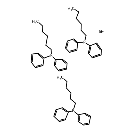 CCCCCCP(c1ccccc1)c1ccccc1.CCCCCCP(c1ccccc1)c1ccccc1.CCCCCCP(c1ccccc1)c1ccccc1.[Rh]